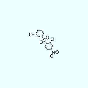 O=[N+]([O-])c1ccc(S(=O)(=O)c2cccc(Cl)c2)c(Cl)c1